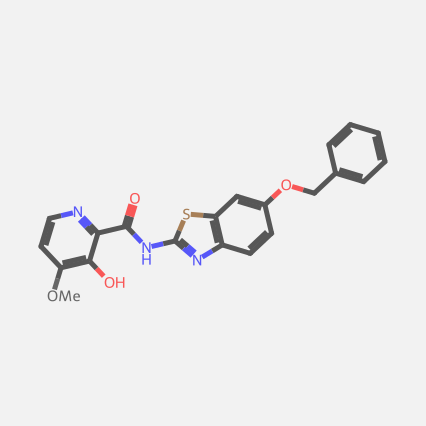 COc1ccnc(C(=O)Nc2nc3ccc(OCc4ccccc4)cc3s2)c1O